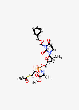 CC(C)OC(=O)[C@H](C)N[PH](O)(OCCSC(=O)C(C)(C)C)OC[C@@H]1C[C@H](C)[C@H](n2ccc(=O)n(COCc3ccccc3)c2=O)O1